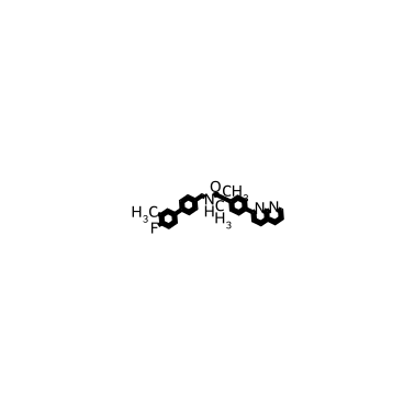 Cc1cc(-c2ccc(CNC(=O)C(C)(C)c3ccc(-c4ccc5cccnc5n4)cc3)cc2)ccc1F